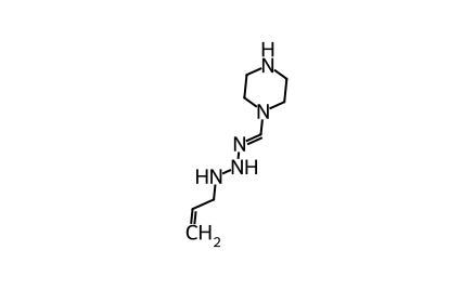 C=CCNNN=CN1CCNCC1